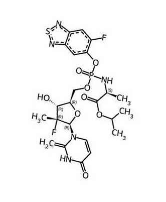 C=C1NC(=O)C=CN1[C@@H]1O[C@H](COP(=O)(N[C@@H](C)C(=O)OC(C)C)Oc2cc3nsnc3cc2F)[C@@H](O)[C@@]1(C)F